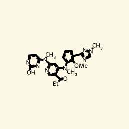 CCC(=O)c1cnc(N(C)c2ccnc(O)n2)cc1N(C)c1cccc(-c2ncn(C)n2)c1OC